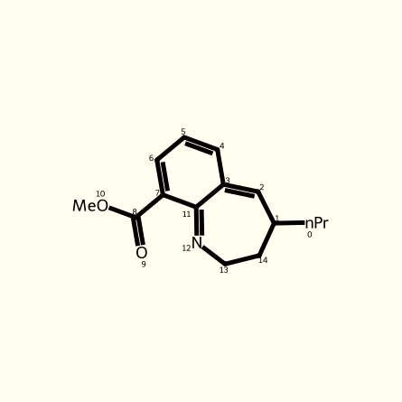 CCCC1C=c2cccc(C(=O)OC)c2=NCC1